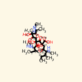 CCC(C)[C@H](NC)C(=O)C(O)(CC(=O)C(C)(O)C(=O)[C@H](C)NC)C(=O)C(O)(CC(=O)[C@@H](NC)[C@H](C)CC)C(=O)O